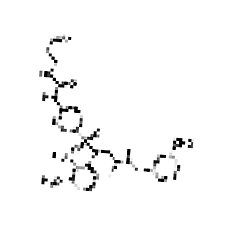 COCCNC(=O)Nc1ccc(S(=O)(=O)N(CC(=O)NCc2cccc(C=O)c2)c2cccc(C)c2C)cn1